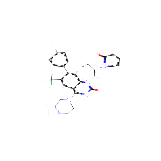 C[C@@H]1CN(c2nc(=O)n3c4c(c(-c5ccc(F)cc5)c(C(F)(F)F)cc24)SC[C@@H](n2ccccc2=O)C3)C[C@H](C)N1